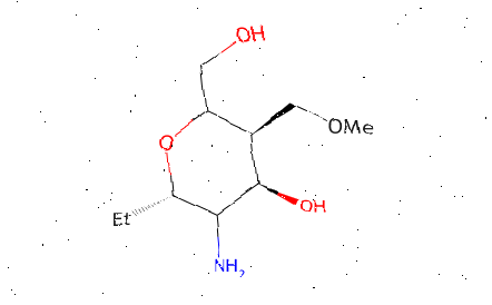 CC[C@@H]1OC(CO)[C@@H](COC)[C@@H](O)C1N